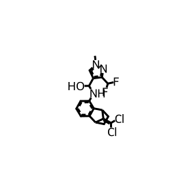 Cn1cc(C(O)Nc2cccc3c2C2CCC3C2=C(Cl)Cl)c(C(F)F)n1